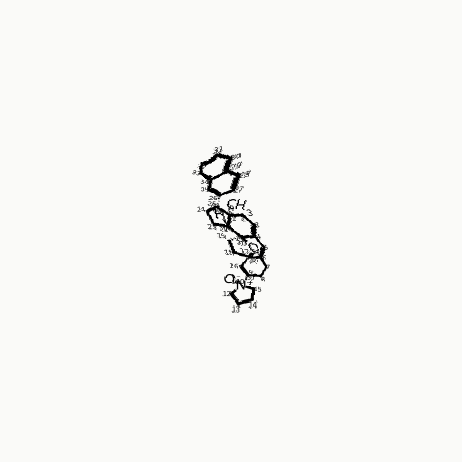 C[C@]12CC=C3C=C4CC[C@H]([N+]5([O-])CCCC5)C[C@]45CC[C@]3(O5)[C@@H]1CC[C@@H]2c1ccc2ccccc2c1